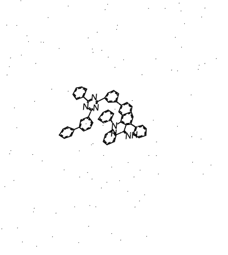 N=C(c1ccccc1)c1c(-c2ccccc2)cc2ccc(-c3cccc(-c4nc(-c5ccccc5)nc(-c5cccc(-c6ccccc6)c5)n4)c3)cc2c1Nc1ccccc1